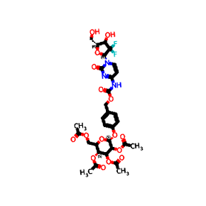 CC(=O)OCC1O[C@@H](Oc2ccc(COC(=O)Nc3ccn([C@@H]4O[C@H](CO)C(O)C4(F)F)c(=O)n3)cc2)C(OC(C)=O)C(OC(C)=O)[C@H]1OC(C)=O